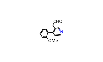 COc1ccccc1-c1ccncc1CC=O